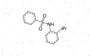 CC(C)c1cc[c]cc1NS(=O)(=O)c1ccccc1